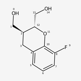 OC[C@@H]1Cc2cccc(F)c2O[C@H]1CO